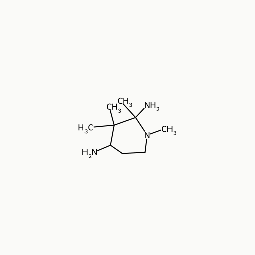 CN1CCC(N)C(C)(C)C1(C)N